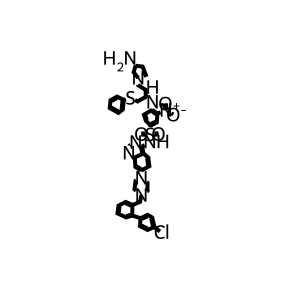 NC1CCN(CCC(CSc2ccccc2)Nc2ccc(S(=O)(=O)Nc3ncnc4cc(N5CCN(Cc6ccccc6-c6ccc(Cl)cc6)CC5)ccc34)cc2[N+](=O)[O-])C1